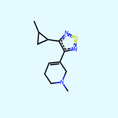 CC1CC1c1nsnc1C1=CCCN(C)C1